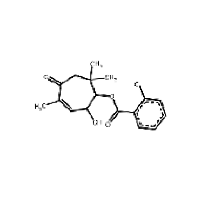 CC1=CC(O)C(OC(=O)c2ccccc2Cl)C(C)(C)CC1=O